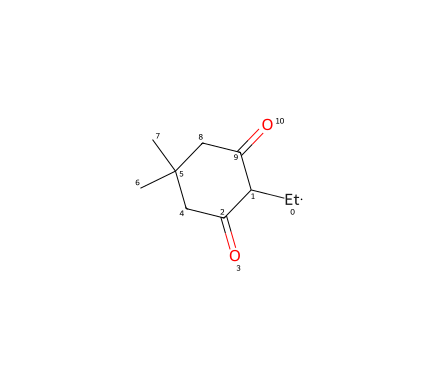 C[CH]C1C(=O)CC(C)(C)CC1=O